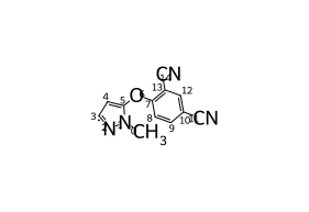 Cn1n[c]cc1Oc1ccc(C#N)cc1C#N